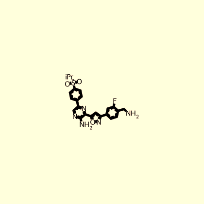 CC(C)S(=O)(=O)c1ccc(-c2cnc(N)c(-c3cc(-c4ccc(CN)c(F)c4)no3)n2)cc1